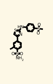 Cc1cc(-c2csc(Nc3ccc(S(C)(=O)=O)cc3)n2)ccc1S(N)(=O)=O